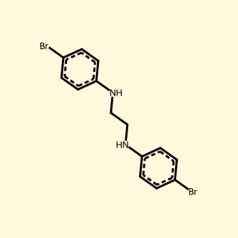 Brc1ccc(NCCNc2ccc(Br)cc2)cc1